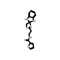 O=C(O)CC1(SCCCNC(=O)c2ccco2)Nc2ccccc2N1